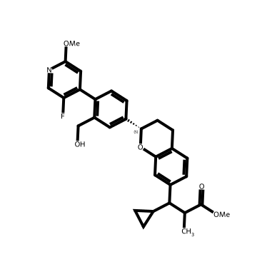 COC(=O)C(C)C(c1ccc2c(c1)O[C@H](c1ccc(-c3cc(OC)ncc3F)c(CO)c1)CC2)C1CC1